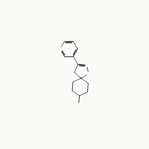 O=C(O)C1CCC2(CC1)CC(c1cccnc1)=NO2